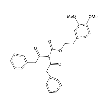 COc1ccc(CCOC(=O)N(C(=O)Cc2ccccc2)C(=O)Cc2ccccc2)cc1OC